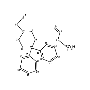 C=CCS(=O)(=O)O.ICC1CCC(c2ccccc2)(c2ccccc2)CC1